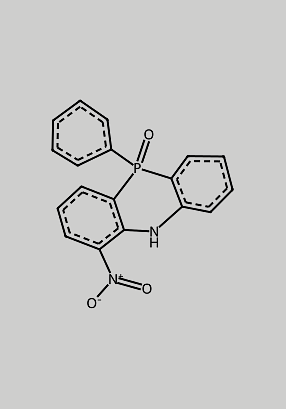 O=[N+]([O-])c1cccc2c1Nc1ccccc1P2(=O)c1ccccc1